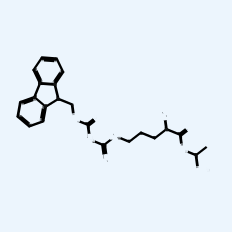 CCCCC(C)OC(=O)C(N)CCCNC(=N)NC(=O)OCC1c2ccccc2-c2ccccc21